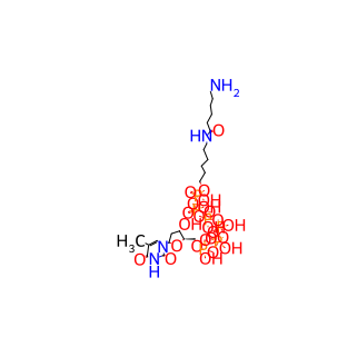 Cc1cn([C@H]2C[C@@H](O)[C@@H](COP(=O)(O)OP(=O)(O)OP(=O)(O)OP(=O)(O)OP(=O)(O)OP(=O)(O)OCCCCCCNC(=O)CCCCCN)O2)c(=O)[nH]c1=O